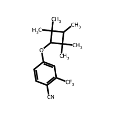 CC1C(C)(C)C(Oc2ccc(C#N)c(C(F)(F)F)c2)C1(C)C